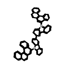 c1ccc2c(c1)ccc1cc(-n3c4ccccc4c4cc(-c5ccc6c(c5)c5ccccc5n6-c5cc6ccc7ccccc7c6c6ccccc56)ccc43)c3ccccc3c12